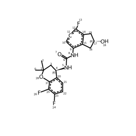 CC1(C)C[C@@H](NC(=O)Nc2ccc(F)c3c2C[C@@H](O)C3)c2ccc(F)c(F)c2O1